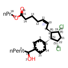 CCCCCC(O)c1ccc([C@@H]2[C@@H](C/C=C\CCCC(=O)OCCC)[C@H](Cl)C[C@@H]2Cl)cc1